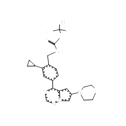 CC(C)(C)OC(=O)NCc1ccc(-c2ncnn3cc(N4CCOCC4)cc23)cc1C1CC1